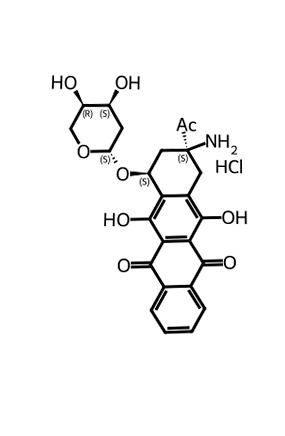 CC(=O)[C@]1(N)Cc2c(O)c3c(c(O)c2[C@@H](O[C@H]2C[C@H](O)[C@H](O)CO2)C1)C(=O)c1ccccc1C3=O.Cl